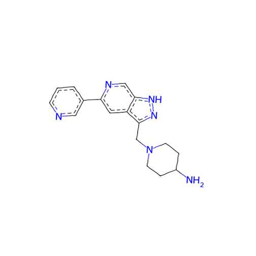 NC1CCN(Cc2n[nH]c3cnc(-c4cccnc4)cc23)CC1